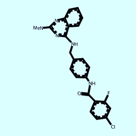 CNc1nc(NCc2ccc(NC(=O)c3ccc(Cl)cc3F)cc2)c2ccccc2n1